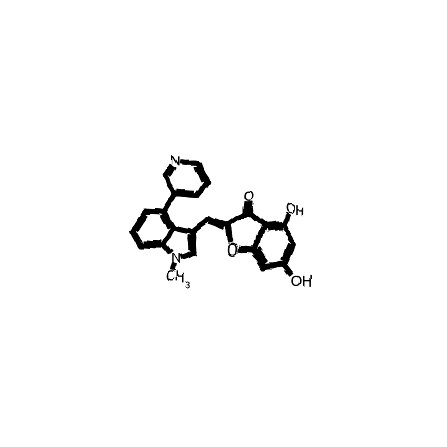 Cn1cc(C=C2Oc3cc(O)cc(O)c3C2=O)c2c(-c3cccnc3)cccc21